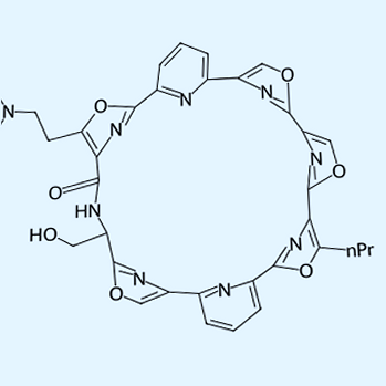 CCCc1oc2nc1-c1nc(co1)-c1nc(co1)-c1cccc(n1)-c1nc(c(CCN(C)C)o1)C(=O)NC(CO)c1nc(co1)-c1cccc-2n1